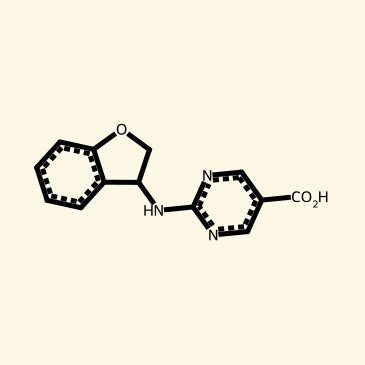 O=C(O)c1cnc(NC2COc3ccccc32)nc1